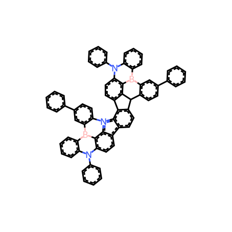 c1ccc(-c2ccc3c(c2)B2c4ccccc4N(c4ccccc4)c4ccc5c(c42)C3c2ccc3c4ccc6c7c4n(c3c2-5)-c2ccc(-c3ccccc3)cc2B7c2ccccc2N6c2ccccc2)cc1